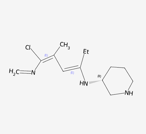 C=N/C(Cl)=C(C)\C=C(/CC)N[C@@H]1CCCNC1